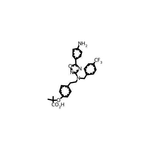 CC(C)(Oc1ccc(CCN(Cc2ccc(C(F)(F)F)cc2)c2noc(-c3ccc(N)cc3)n2)cc1)C(=O)O